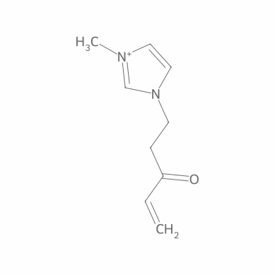 C=CC(=O)CCn1cc[n+](C)c1